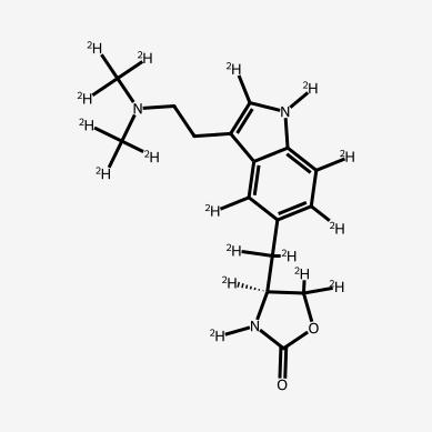 [2H]c1c(C([2H])([2H])[C@]2([2H])N([2H])C(=O)OC2([2H])[2H])c([2H])c2c(CCN(C([2H])([2H])[2H])C([2H])([2H])[2H])c([2H])n([2H])c2c1[2H]